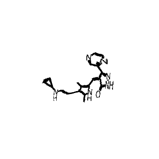 Cc1[nH]c(C=C2C(=O)NN=C2c2cnccn2)c(C)c1CCNC1CC1